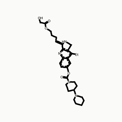 CCc1c2c(nc3ccc(OC(=O)N4CCC(N5CCCCC5)CC4)cc13)/C(=C/CCCOC(=O)CO)NC2